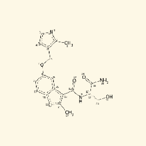 Cc1ncsc1COc1ccc2oc(C)c(C(=O)N[C@@H](CO)C(N)=O)c2c1